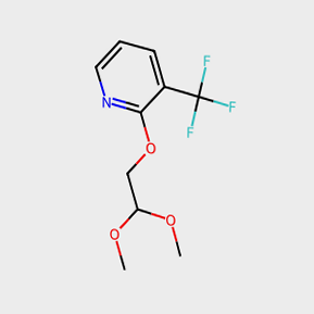 COC(COc1ncccc1C(F)(F)F)OC